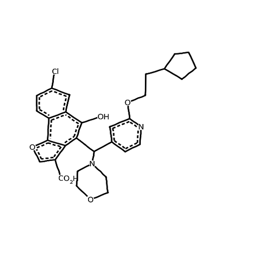 O=C(O)c1coc2c1c(C(c1ccnc(OCCC3CCCC3)c1)N1CCOCC1)c(O)c1cc(Cl)ccc12